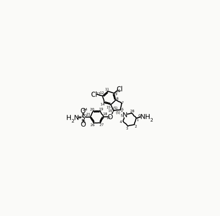 NC1CCCN([C@H]2Cc3c(Cl)cc(Cl)cc3[C@@H]2Oc2ccc(S(N)(=O)=O)cc2)C1